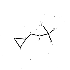 FC(F)(F)SC[C]1CC1